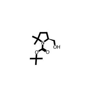 CC(C)(C)OC(=O)N1[C@H](CO)CCC1(C)C